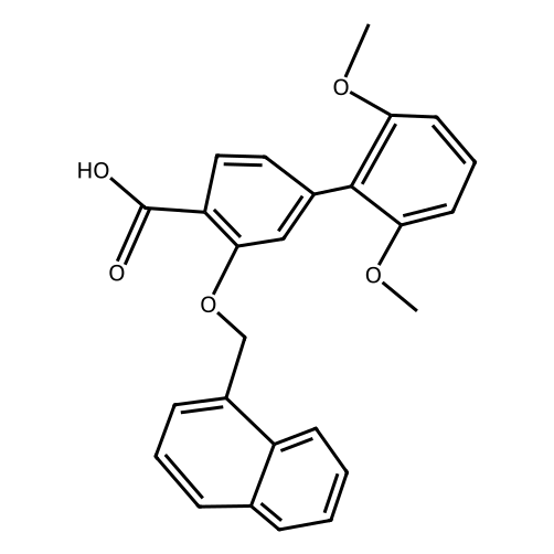 COc1cccc(OC)c1-c1ccc(C(=O)O)c(OCc2cccc3ccccc23)c1